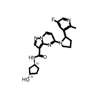 Cc1ncc(F)cc1C1CCCN1c1ccn2ncc(C(=O)N[C@H]3CC[C@H](O)C3)c2n1